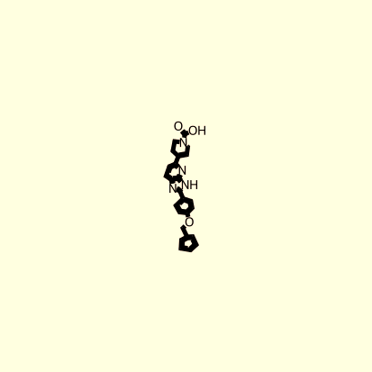 O=C(O)N1CC=C(c2ccc3nc(-c4ccc(OCc5ccccc5)cc4)[nH]c3n2)CC1